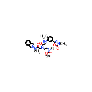 CCN(CCN(CC(=O)N(C)N1Cc2ccccc2C1)C(=O)CNc1cc(-c2nn(C)c(=O)o2)ccc1C)C(=O)OC(C)(C)C